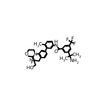 Cc1ccc(NC(=O)c2cc(C(C)(C)N)cc(C(F)(F)F)c2)cc1-c1ccc2c(c1)N1CCOC[C@H]1[C@](F)(CO)C2